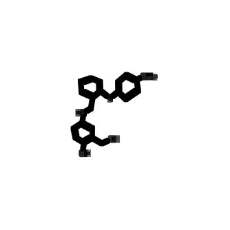 COc1ccc(Sc2ccccc2CNc2ccc(O)c(CO)c2)cc1